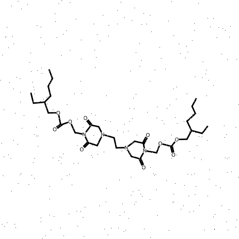 CCCCC(CC)COC(=O)OCN1C(=O)CN(CCN2CC(=O)N(COC(=O)OCC(CC)CCCC)C(=O)C2)CC1=O